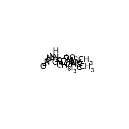 CC(=O)OCc1c(-c2cc(Nc3cc4n(n3)CCN(C3COC3)C4)c(=O)n(C)c2)cccc1N1CCN=C(SC2=C(C)CC(C)(C)C2)C1=O